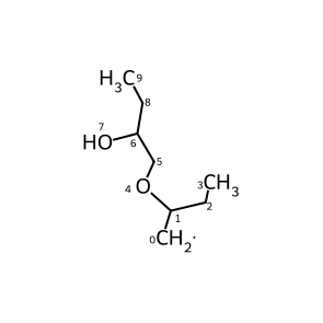 [CH2]C(CC)OCC(O)CC